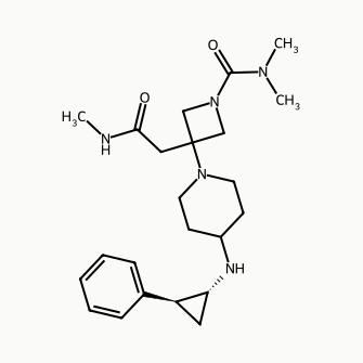 CNC(=O)CC1(N2CCC(N[C@@H]3C[C@H]3c3ccccc3)CC2)CN(C(=O)N(C)C)C1